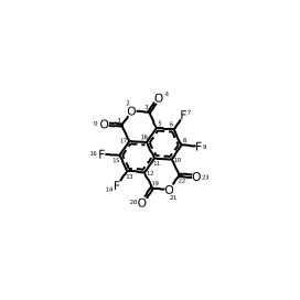 O=C1OC(=O)c2c(F)c(F)c3c4c(c(F)c(F)c1c24)C(=O)OC3=O